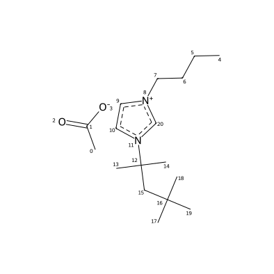 CC(=O)[O-].CCCC[n+]1ccn(C(C)(C)CC(C)(C)C)c1